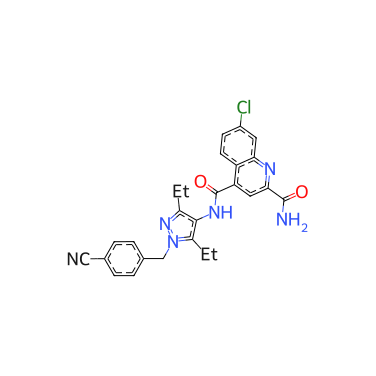 CCc1nn(Cc2ccc(C#N)cc2)c(CC)c1NC(=O)c1cc(C(N)=O)nc2cc(Cl)ccc12